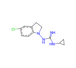 N=C(NC1CC1)NN1CCc2cc(Cl)ccc21